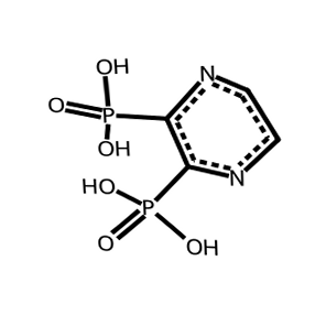 O=P(O)(O)c1nccnc1P(=O)(O)O